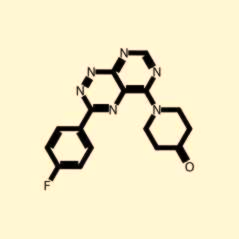 O=C1CCN(c2ncnc3nnc(-c4ccc(F)cc4)nc23)CC1